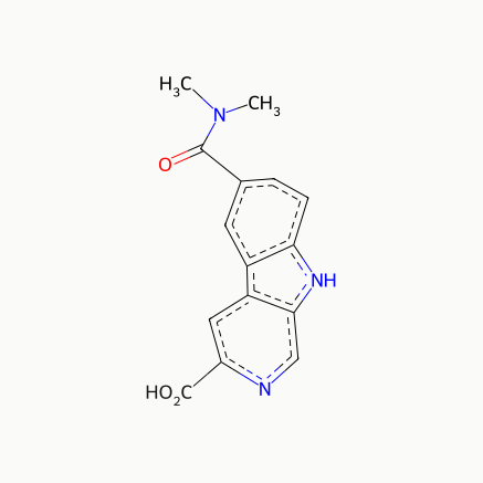 CN(C)C(=O)c1ccc2[nH]c3cnc(C(=O)O)cc3c2c1